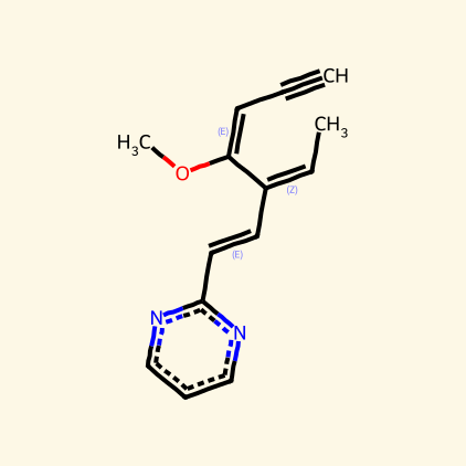 C#C\C=C(OC)/C(=C\C)/C=C/c1ncccn1